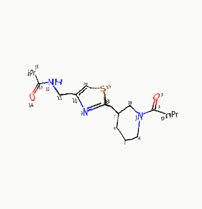 CCCC(=O)N1CCCC(c2nc(CNC(=O)C(C)C)cs2)C1